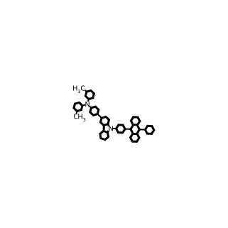 Cc1cccc(N(c2ccc(-c3ccc4c(c3)c3ccccc3n4-c3ccc(-c4c5ccccc5c(-c5ccccc5)c5ccccc45)cc3)cc2)c2cccc(C)c2)c1